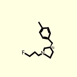 Cc1ccc(C[C@H]2CCN(CCCF)C2)cc1